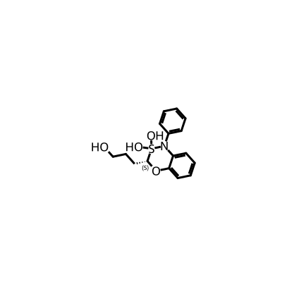 OCCC[C@H]1Oc2ccccc2N(c2ccccc2)S1(O)O